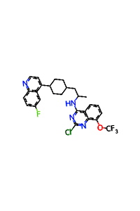 CC(CC1CCC(c2ccnc3ccc(F)cc23)CC1)Nc1nc(Cl)nc2c(OC(F)(F)F)cccc12